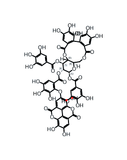 O=C(O[C@@H]1O[C@@H]2COC(=O)c3cc(O)c(O)c(O)c3-c3c(cc(O)c(O)c3O)C(=O)O[C@H]2[C@H](OC(=O)c2cc(O)c(O)c(O)c2)[C@H]1OC(=O)c1cc(O)c(O)c(O)c1Oc1cc2c(=O)oc3c(O)c(O)cc4c(=O)oc(c1O)c2c34)c1cc(O)c(O)c(O)c1